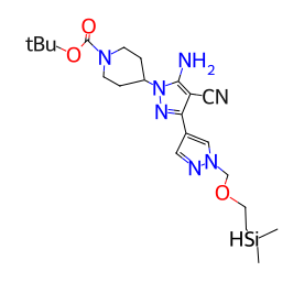 C[SiH](C)CCOCn1cc(-c2nn(C3CCN(C(=O)OC(C)(C)C)CC3)c(N)c2C#N)cn1